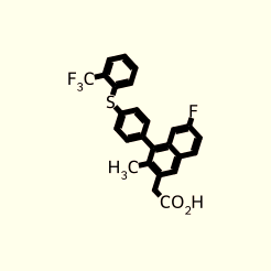 Cc1c(CC(=O)O)cc2ccc(F)cc2c1-c1ccc(Sc2ccccc2C(F)(F)F)cc1